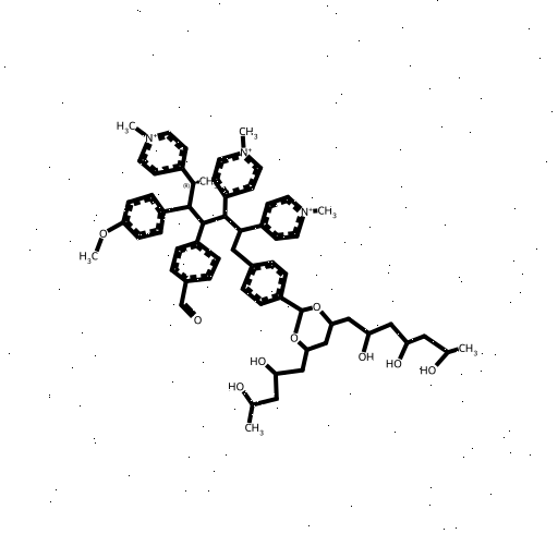 COc1ccc(C(C(c2ccc(C=O)cc2)C(c2cc[n+](C)cc2)C(Cc2ccc(C3OC(CC(O)CC(C)O)CC(CC(O)CC(O)CC(C)O)O3)cc2)c2cc[n+](C)cc2)[C@@H](C)c2cc[n+](C)cc2)cc1